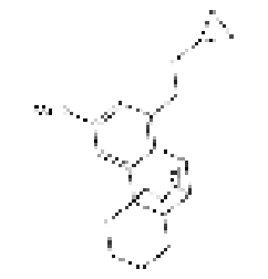 COc1cc(CCC2CC2)c2c(c1)C13CCCCC1C(C2)NCC3